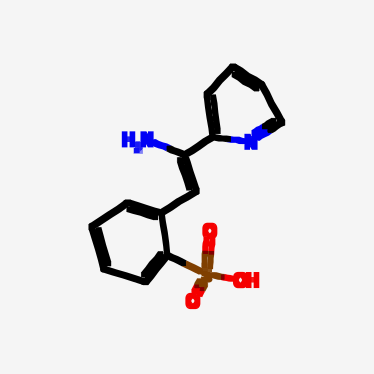 NC(=Cc1ccccc1S(=O)(=O)O)c1ccccn1